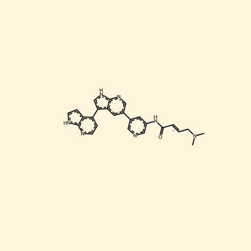 CN(C)C/C=C/C(=O)Nc1cncc(-c2cnc3[nH]cc(-c4ccnc5[nH]ccc45)c3c2)c1